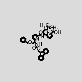 CN(C)CCc1oc(-c2cccc(C(COCc3ccccc3)NC(=O)OCC3c4ccccc4-c4ccccc43)n2)nc1-c1cccc(C(=O)O)n1